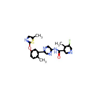 Cc1cnc(Oc2ccc(C)c(-c3cnc(NC(=O)c4cncc(F)c4C)cn3)c2)s1